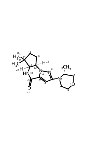 C[C@@H]1COCCN1c1cc2n(n1)[C@@H]1CCC(C)(C)[C@@H]1NC2=O